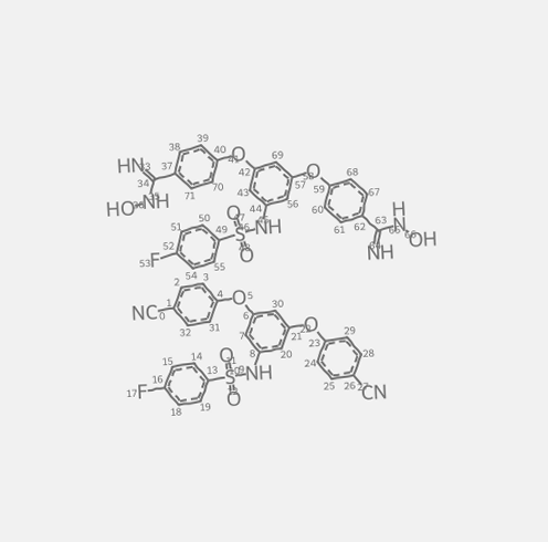 N#Cc1ccc(Oc2cc(NS(=O)(=O)c3ccc(F)cc3)cc(Oc3ccc(C#N)cc3)c2)cc1.N=C(NO)c1ccc(Oc2cc(NS(=O)(=O)c3ccc(F)cc3)cc(Oc3ccc(C(=N)NO)cc3)c2)cc1